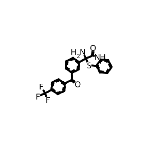 NC(=O)C(N)(Sc1ccccc1)c1cccc(C(=O)c2ccc(C(F)(F)F)cc2)c1